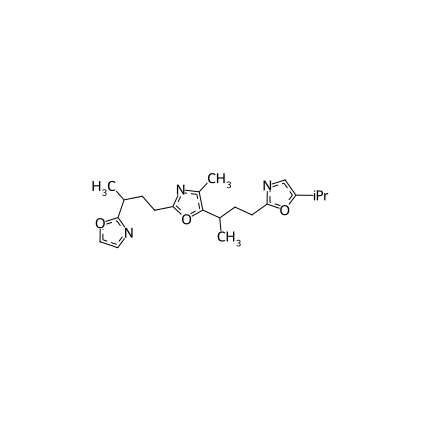 Cc1nc(CCC(C)c2ncco2)oc1C(C)CCc1ncc(C(C)C)o1